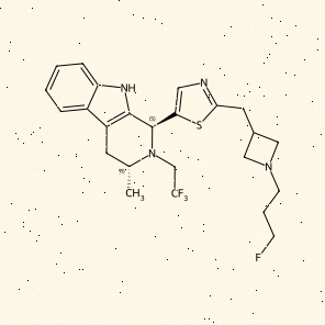 C[C@@H]1Cc2c([nH]c3ccccc23)[C@@H](c2cnc(CC3CN(CCCF)C3)s2)N1CC(F)(F)F